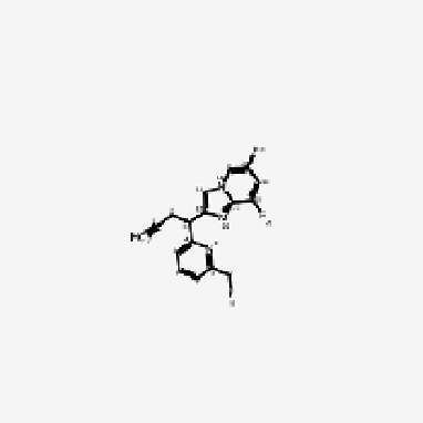 C#CCC(c1cccc(CF)n1)c1cn2cc(F)cc(F)c2n1